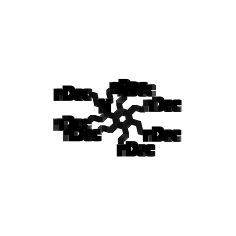 CCCCCCCCCCCCc1c(CCCCCCCCCCCC)c(CCCCCCCCCCCC)c(C(CCCCCCCCCCCC)N(CCCCCCCCCCCC)CCCCCCCCCCCC)c(CCCCCCCCCCCC)c1CCCCCCCCCCCC